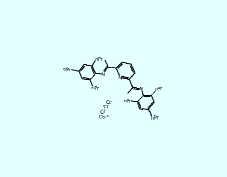 CCCc1cc(CCC)c(N=C(C)c2cccc(C(C)=Nc3c(CCC)cc(CCC)cc3CCC)n2)c(CCC)c1.[Cl-].[Cl-].[Cl-].[Co+3]